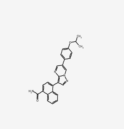 CC(C)Oc1ccc(-c2cnc3c(-c4ccc(C(N)=O)c5ccccc45)cnn3c2)cc1